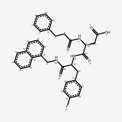 O=C(O)C[C@H](NC(=O)CCc1ccccc1)C(=O)NC(Cc1ccc(F)cc1)C(=O)NCc1cccc2ccccc12